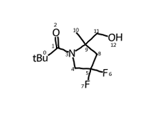 CC(C)(C)C(=O)N1CC(F)(F)CC1(C)CO